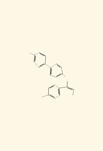 C/C=C(/Oc1ccc(-c2ccc(C)cc2)cc1)c1ccc(C)cc1